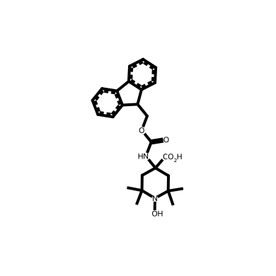 CC1(C)CC(NC(=O)OCC2c3ccccc3-c3ccccc32)(C(=O)O)CC(C)(C)N1O